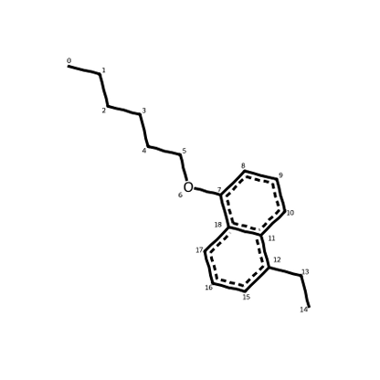 CCCCCCOc1cccc2c(CC)cccc12